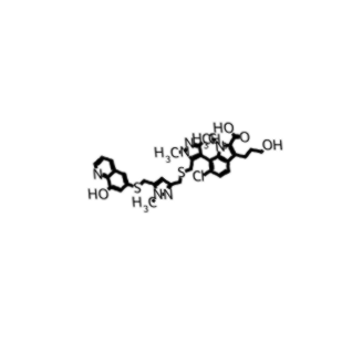 Cc1nn(C)c(CSCc2cc(CSc3cc(O)c4ncccc4c3)n(C)n2)c1-c1c(Cl)ccc2c(CCCO)c(C(=O)O)n(C)c12